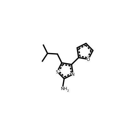 CC(C)Cc1sc(N)nc1-c1ccco1